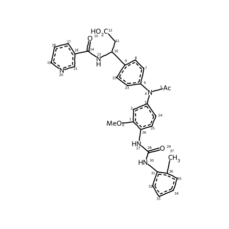 COc1cc(N(C(C)=O)c2ccc(C(CC(=O)O)NC(=O)c3cccnc3)cc2)ccc1NC(=O)Nc1ccccc1C